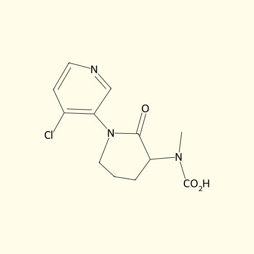 CN(C(=O)O)C1CCCN(c2cnccc2Cl)C1=O